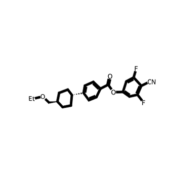 CCOC[C@H]1CC[C@H](c2ccc(C(=O)Oc3cc(F)c(C#N)c(F)c3)cc2)CC1